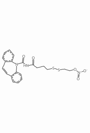 O=C(CCCSSCCO[N+](=O)[O-])NC(=O)N1c2ccccc2C=Cc2ccccc21